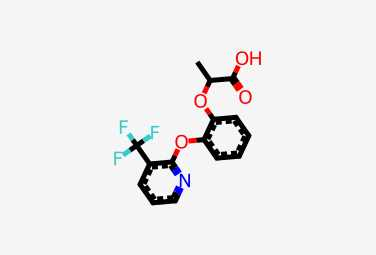 CC(Oc1ccccc1Oc1ncccc1C(F)(F)F)C(=O)O